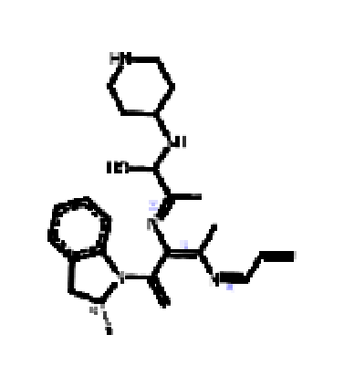 C=C\C=N/C(C)=C(/N=C(\C)C(O)NC1CCNCC1)C(=C)N1c2ccccc2C[C@H]1C